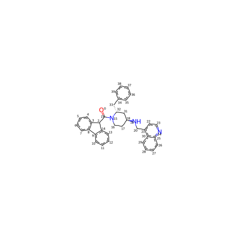 O=C(C1c2ccccc2-c2ccccc21)N1CC[C@H](NCc2ccnc3ccccc23)C[C@H]1Cc1ccccc1